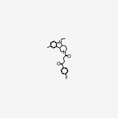 CCN1c2ccc(C)cc2C2CN(C(=O)CCC(=O)c3ccc(F)cc3)CCC21